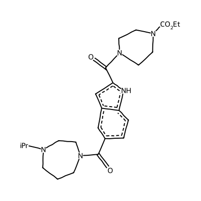 CCOC(=O)N1CCN(C(=O)c2cc3cc(C(=O)N4CCCN(C(C)C)CC4)ccc3[nH]2)CC1